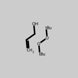 C=CCO.CC(C)(C)OOC(C)(C)C